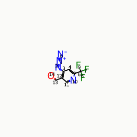 [N-]=[N+]=Nc1cc(C(F)(F)F)ncc1C=O